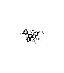 Cc1cc(C(C)Oc2ccc(-c3cncc(Cl)c3)c3ncnc(N)c23)nc(C)n1